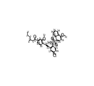 CCCC(C)CC(=O)c1cc(OC)c(C#Cc2cc(Cl)ccc2NS(=O)(=O)c2ccc(OC)c3cccnc23)cn1